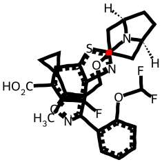 Cc1c(C(=O)O)cc2sc(N3[C@@H]4CC[C@H]3CC(OCc3c(-c5ccccc5OC(F)F)noc3C3CC3)C4)nc2c1F